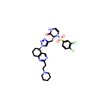 O=C1NC=CN(S(=O)(=O)c2ccc(Cl)c(Cl)c2)[C@H]1Cc1cn([C@@H]2CCCc3nc(CCN4CCCCC4)ncc32)nn1